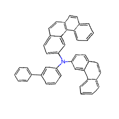 c1ccc(-c2cccc(N(c3ccc4ccc5ccccc5c4c3)c3ccc4ccc5ccc6ccccc6c5c4c3)c2)cc1